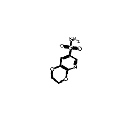 NS(=O)(=O)c1cnc2c(c1)OCCO2